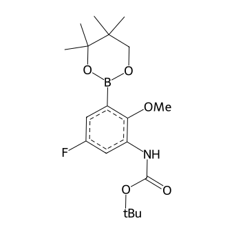 COc1c(NC(=O)OC(C)(C)C)cc(F)cc1B1OCC(C)(C)C(C)(C)O1